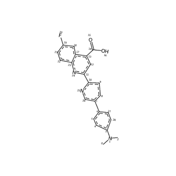 CN(C)c1ccc(-c2ccc(-c3cc(C(=O)O)c4cc(F)ccc4n3)nc2)cc1